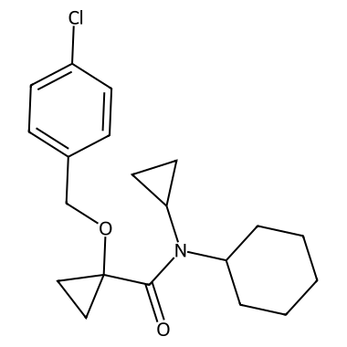 O=C(N(C1CCCCC1)C1CC1)C1(OCc2ccc(Cl)cc2)CC1